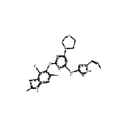 C/C=C\c1cc(Nc2cc(N3CCOCC3)nc(Oc3c(F)cc4[nH]c(C)cc4c3F)n2)n[nH]1